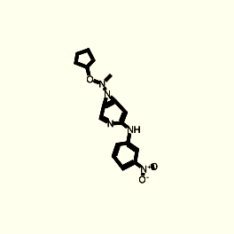 CN(OC1CCCC1)N1c2cnc(Nc3cccc([N+](=O)[O-])c3)cc21